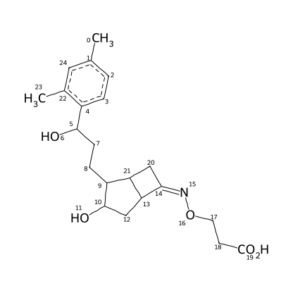 Cc1ccc(C(O)CCC2C(O)CC3C(=NOCCC(=O)O)CC32)c(C)c1